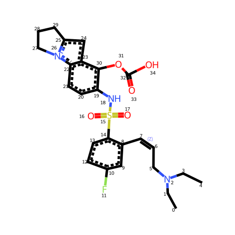 CCN(CC)C/C=C\c1cc(F)ccc1S(=O)(=O)Nc1ccc2c(cc3n2CCC3)c1OC(=O)O